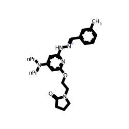 CCCN(CCC)c1cc(N/N=C/c2cccc(C)c2)nc(OCCN2CCCC2=O)c1